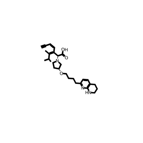 C#C/C=C\C(=C(/C)C(C)C)[C@H](C(=O)O)N1CC[C@@H](OCCCCc2ccc3c(n2)NCCC3)C1